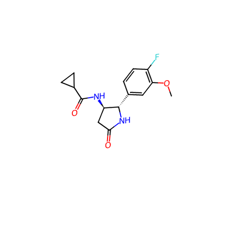 COc1cc([C@@H]2NC(=O)C[C@H]2NC(=O)C2CC2)ccc1F